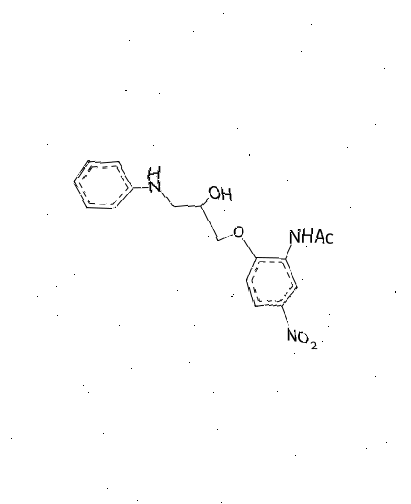 CC(=O)Nc1cc([N+](=O)[O-])ccc1OCC(O)CNc1ccccc1